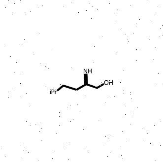 CC(C)CCC(=N)CO